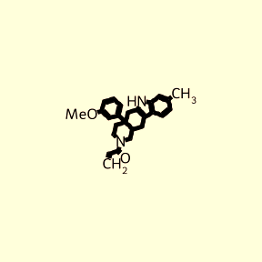 C=CC(=O)N1CCC2(c3cccc(OC)c3)Cc3[nH]c4cc(C)ccc4c3CC2C1